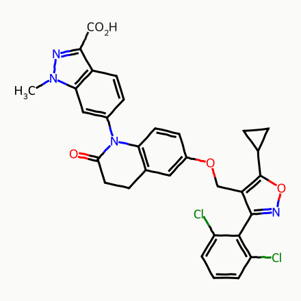 Cn1nc(C(=O)O)c2ccc(N3C(=O)CCc4cc(OCc5c(-c6c(Cl)cccc6Cl)noc5C5CC5)ccc43)cc21